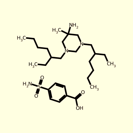 CCCCC(CC)CN1CN(CC(CC)CCCC)CC(C)(N)C1.NS(=O)(=O)c1ccc(C(=O)O)cc1